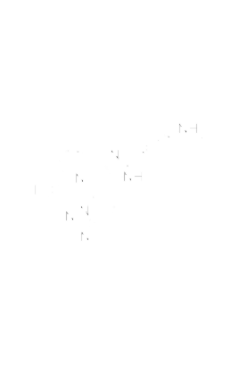 Cc1cccc(-c2nc(C34CCC(N)(CC3)CC4)[nH]c2-c2ccc3ncnn3c2)n1